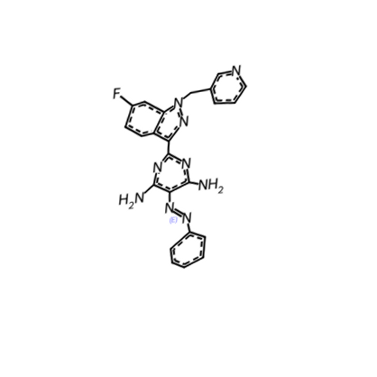 Nc1nc(-c2nn(Cc3cccnc3)c3cc(F)ccc23)nc(N)c1/N=N/c1ccccc1